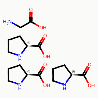 NCC(=O)O.O=C(O)[C@@H]1CCCN1.O=C(O)[C@@H]1CCCN1.O=C(O)[C@@H]1CCCN1